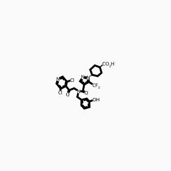 O=C(CN(Cc1cccc(O)c1)C(=O)c1cnn([C@H]2CC[C@H](C(=O)O)CC2)c1C(F)(F)F)c1c(Cl)cncc1Cl